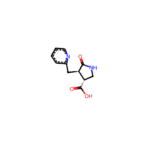 O=C(O)[C@H]1CNC(=O)[C@@H]1Cc1ccccn1